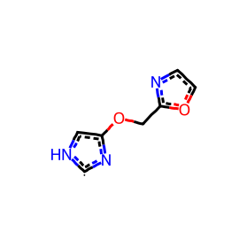 [c]1nc(OCc2ncco2)c[nH]1